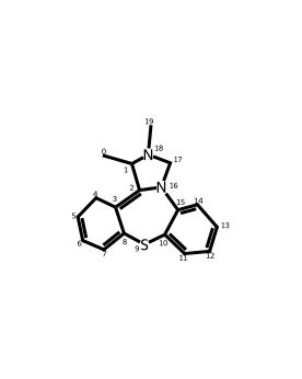 CC1C2=C3CC=CC=C3Sc3ccccc3N2CN1C